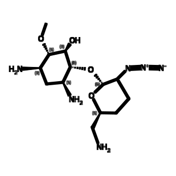 CO[C@@H]1[C@@H](O)[C@H](O[C@H]2O[C@H](CN)CCC2N=[N+]=[N-])[C@@H](N)C[C@H]1N